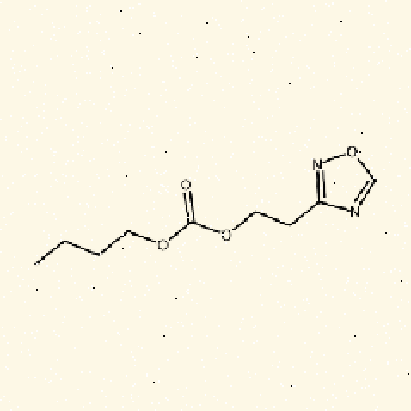 CCCCOC(=O)OCCc1ncon1